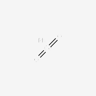 [O]=[Ce]=[O].[Rh]